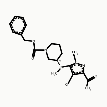 CC(=O)c1nn(C)c(N(C)[C@H]2CCCN(C(=O)OCc3ccccc3)C2)c1Cl